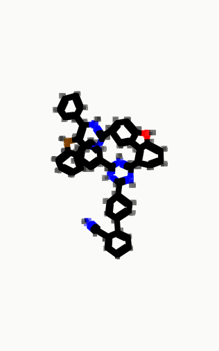 N#Cc1ccccc1-c1ccc(-c2nc(-c3ccccc3)nc(-c3cccc4oc5ccc(-c6nc(-c7ccccc7)c7sc8ccccc8c7n6)cc5c34)n2)cc1